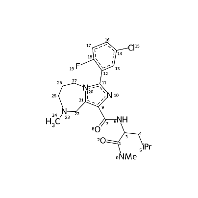 CNC(=O)C(CC(C)C)NC(=O)c1nc(-c2cc(Cl)ccc2F)n2c1CN(C)CCC2